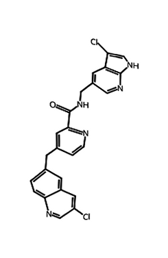 O=C(NCc1cnc2[nH]cc(Cl)c2c1)c1cc(Cc2ccc3ncc(Cl)cc3c2)ccn1